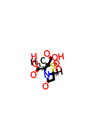 C[C@]1(C(=O)O)[C@H](C(=O)O)N2C(=O)C[C@H]2S1(=O)=O